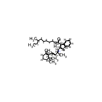 CCC(C)CCCCCNC(=O)c1c(/C=C(\C)C=CC2=C(C)CCCC2(C)C)sc2ccccc12